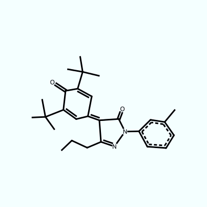 CCCC1=NN(c2cccc(C)c2)C(=O)C1=C1C=C(C(C)(C)C)C(=O)C(C(C)(C)C)=C1